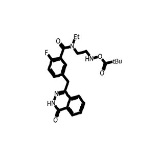 CCN(CCNOC(=O)C(C)(C)C)C(=O)c1cc(Cc2n[nH]c(=O)c3ccccc23)ccc1F